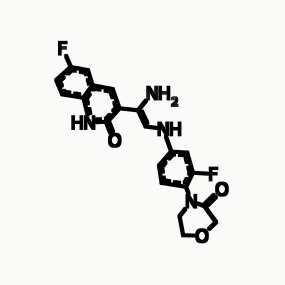 N/C(=C\Nc1ccc(N2CCOCC2=O)c(F)c1)c1cc2cc(F)ccc2[nH]c1=O